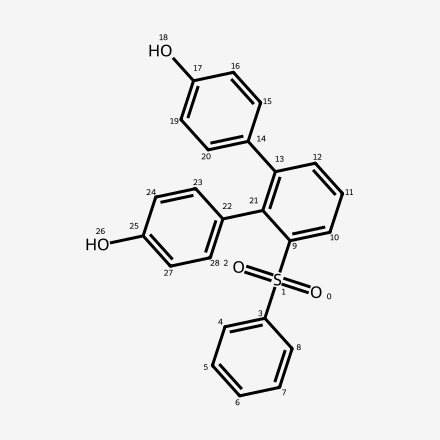 O=S(=O)(c1ccccc1)c1cccc(-c2ccc(O)cc2)c1-c1ccc(O)cc1